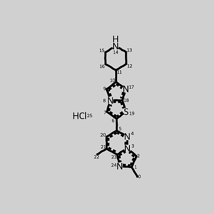 Cc1cn2nc(-c3cn4cc(C5CCNCC5)nc4s3)cc(C)c2n1.Cl